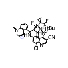 C=Nc1cccc([C@H](Nc2cc(Cl)c3ncc(C#N)c(NCC(C)(C)C)c3c2)C2=C(F)N(C3(C(F)F)CC3)NN2)c1/C=C\C